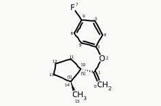 C=C(Oc1ccc(F)cc1)[C@H]1CCC[C@@H]1C